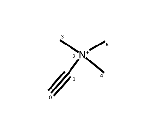 C#C[N+](C)(C)C